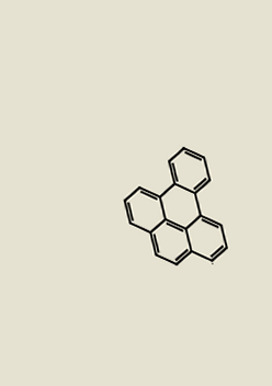 [c]1ccc2c3ccccc3c3cccc4ccc1c2c43